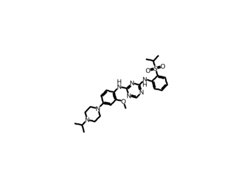 COc1cc(N2CCN(C(C)C)CC2)ccc1Nc1ncnc(Nc2ccccc2S(=O)(=O)C(C)C)n1